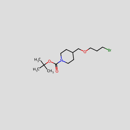 CC(C)(C)OC(=O)N1CCC(COCCCBr)CC1